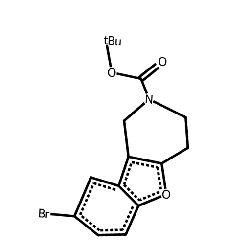 CC(C)(C)OC(=O)N1CCc2oc3ccc(Br)cc3c2C1